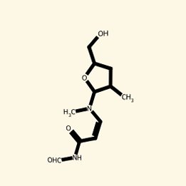 CC1CC(CO)OC1N(C)/C=C\C(=O)NC=O